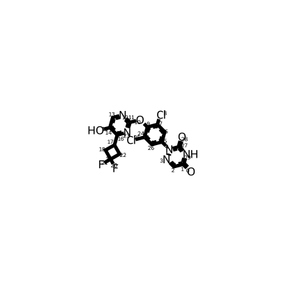 O=c1cnn(-c2cc(Cl)c(Oc3ncc(O)c(C4CC(F)(F)C4)n3)c(Cl)c2)c(=O)[nH]1